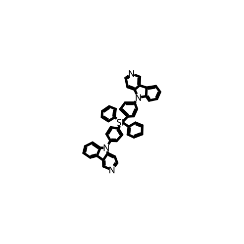 c1ccc([Si](c2ccccc2)(c2ccc(-n3c4ccccc4c4cnccc43)cc2)c2ccc(-n3c4ccccc4c4cnccc43)cc2)cc1